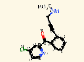 O=C(O)NCC#Cc1ccccc1C(=O)c1cc(Cl)ccn1